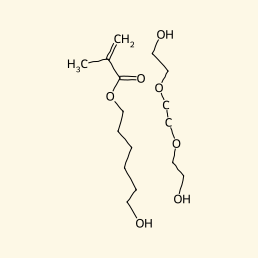 C=C(C)C(=O)OCCCCCCO.OCCOCCOCCO